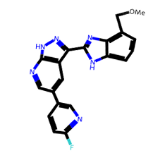 COCc1cccc2[nH]c(-c3n[nH]c4ncc(-c5ccc(F)nc5)cc34)nc12